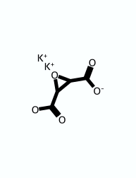 O=C([O-])C1OC1C(=O)[O-].[K+].[K+]